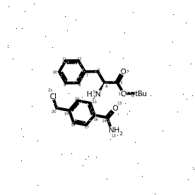 CC(C)(C)OC(=O)[C@@H](N)Cc1ccccc1.NC(=O)c1ccc(CCl)cc1